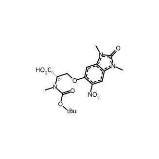 CN(C(=O)OC(C)(C)C)[C@@H](COc1cc2c(cc1[N+](=O)[O-])n(C)c(=O)n2C)C(=O)O